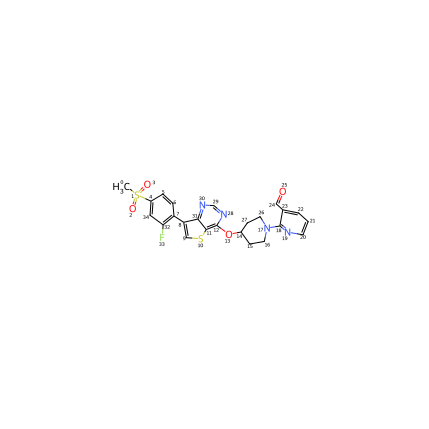 CS(=O)(=O)c1ccc(-c2csc3c(OC4CCN(c5ncccc5C=O)CC4)ncnc23)c(F)c1